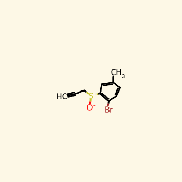 C#CC[S+]([O-])c1cc(C)ccc1Br